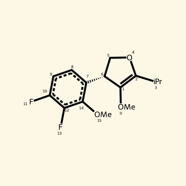 COC1=C(C(C)C)OC[C@H]1c1ccc(F)c(F)c1OC